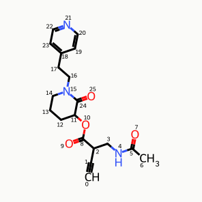 C#CC(CNC(C)=O)C(=O)OC1CCCN(CCc2ccncc2)C1=O